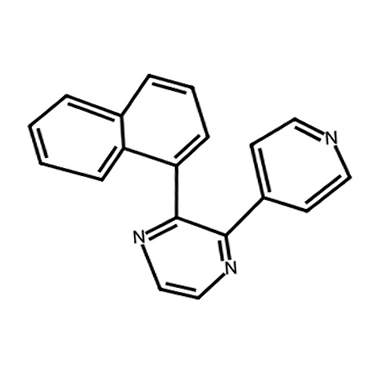 c1ccc2c(-c3nccnc3-c3ccncc3)cccc2c1